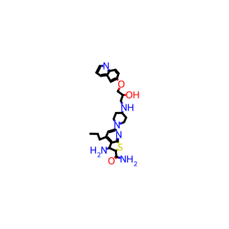 CCCc1cc(N2CCC(NCC(O)COc3ccc4ncccc4c3)CC2)nc2c1C(N)C(C(N)=O)S2